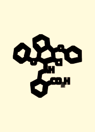 O=C(O)c1ccccc1CNC1=C(Cl)C(Oc2ccccc2)c2ccccc2C1Oc1ccccc1